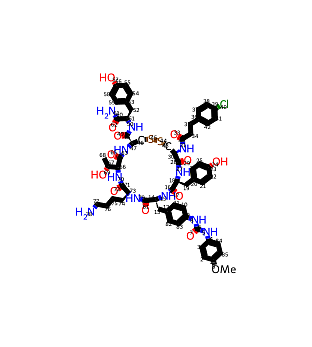 COc1ccc(NC(=O)Nc2ccc(C[C@H]3NC(=O)[C@H](Cc4ccc(O)cc4)NC(=O)[C@H](NC(=O)CCc4ccc(Cl)cc4)CSSC[C@@H](C(=O)N[C@H](Cc4ccc(O)cc4)C(N)=O)NC(=O)C(C(C)O)NC(=O)[C@H](CCCCN)NC3=O)cc2)cc1